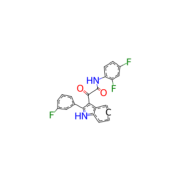 O=C(Nc1ccc(F)cc1F)C(=O)c1c(-c2cccc(F)c2)[nH]c2ccccc12